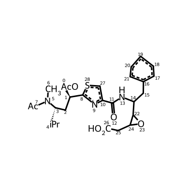 CC(=O)O[C@H](C[C@H](C(C)C)N(C)C(C)=O)c1nc(C(=O)NC(Cc2ccccc2)C2OC2CC(=O)O)cs1